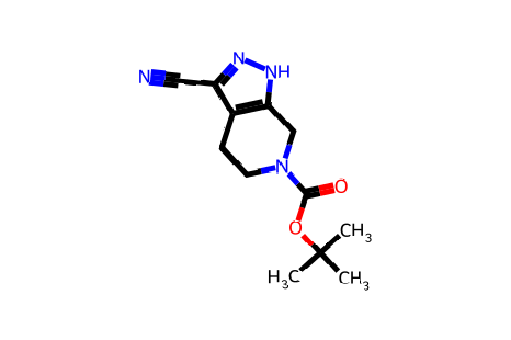 CC(C)(C)OC(=O)N1CCc2c(C#N)n[nH]c2C1